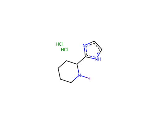 Cl.Cl.IN1CCCCC1c1ncc[nH]1